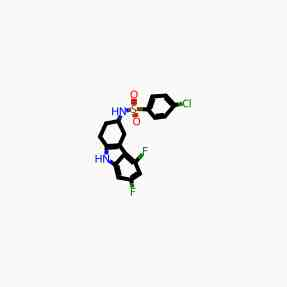 O=S(=O)(NC1CCc2[nH]c3cc(F)cc(F)c3c2C1)c1ccc(Cl)cc1